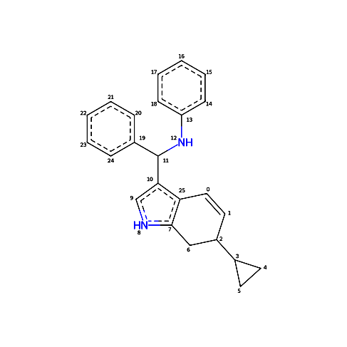 C1=CC(C2CC2)Cc2[nH]cc(C(Nc3ccccc3)c3ccccc3)c21